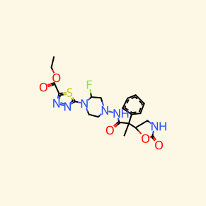 CCOC(=O)c1nnc(N2CCN(NC(=O)C(C)(c3ccccc3)C3CNC(=O)O3)CC2F)s1